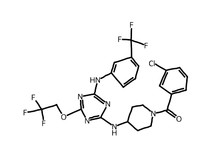 O=C(c1cccc(Cl)c1)N1CCC(Nc2nc(Nc3cccc(C(F)(F)F)c3)nc(OCC(F)(F)F)n2)CC1